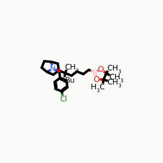 CC(C)(C)C(C)(CCCCB1OC(C)(C)C(C)(C)O1)C1CC2CCC(C1)N2Cc1ccc(Cl)cc1